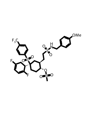 COc1ccc(CNS(=O)(=O)CC[C@@H]2C[C@](C3CC(F)=CC=C3F)(S(=O)(=O)c3ccc(C(F)(F)F)cc3)CC[C@H]2OS(C)(=O)=O)cc1